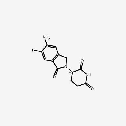 Nc1cc2c(cc1F)C(=O)N([C@H]1CCC(=O)NC1=O)C2